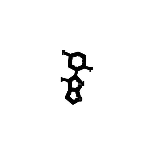 Fc1ccc(F)c(-c2nc3occn3c2I)c1